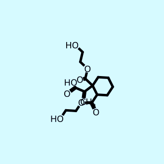 C=C(C(=O)O)C1(C(=O)OCCO)CCCCC1C(=O)OCCO